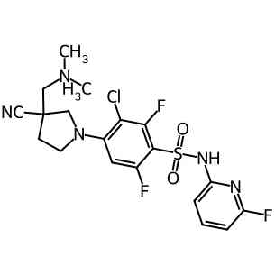 CN(C)CC1(C#N)CCN(c2cc(F)c(S(=O)(=O)Nc3cccc(F)n3)c(F)c2Cl)C1